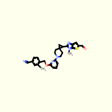 Cc1cc(C#N)ccc1COc1cccc(N2CCC3(CC2)CC3c2nc3cc(C=O)sc3n2C)n1